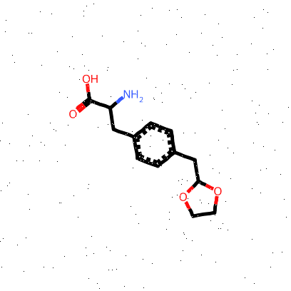 NC(Cc1ccc(CC2OCCO2)cc1)C(=O)O